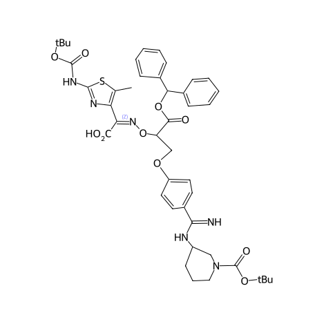 Cc1sc(NC(=O)OC(C)(C)C)nc1/C(=N/OC(COc1ccc(C(=N)NC2CCCN(C(=O)OC(C)(C)C)C2)cc1)C(=O)OC(c1ccccc1)c1ccccc1)C(=O)O